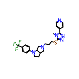 Cn1c(SCCCN2CC3CCN(c4ccc(C(F)(F)F)cc4)C3C2)nnc1-c1ccncc1